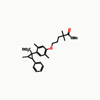 CCOC(=O)C1(c2cc(C)c(OCCCC(C)(C)C(=O)OC)cc2C)C(C)C1c1ccccc1